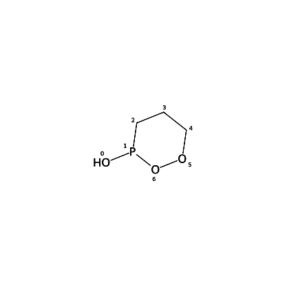 OP1CCCOO1